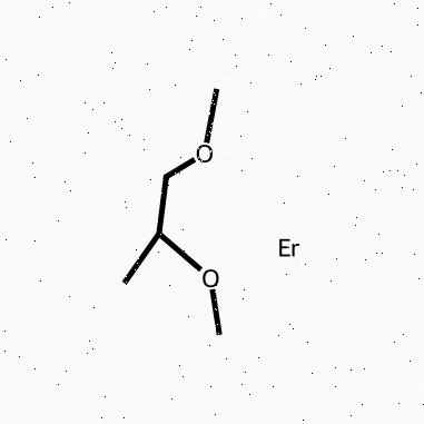 COCC(C)OC.[Er]